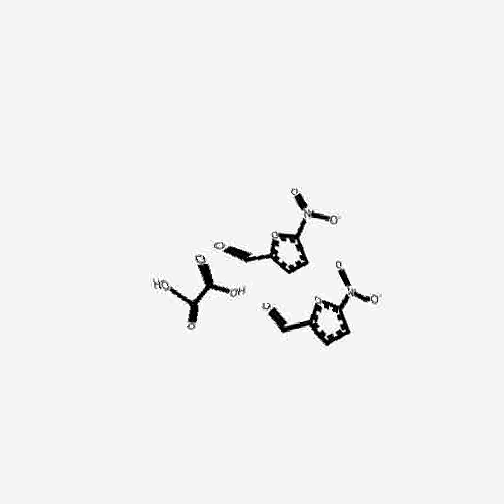 O=C(O)C(=O)O.O=Cc1ccc([N+](=O)[O-])o1.O=Cc1ccc([N+](=O)[O-])o1